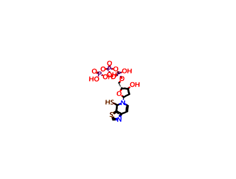 O=P(O)(O)OP(=O)(O)OP(=O)(O)OC[C@H]1O[C@@H](N2C=Cc3ncsc3C2S)CC1O